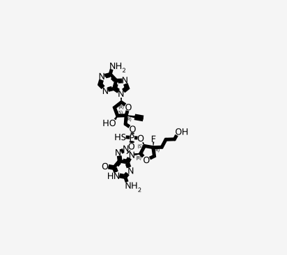 C#C[C@]1(COP(=O)(S)O[C@H]2[C@H](n3nnc4c(=O)[nH]c(N)nc43)OC[C@]2(F)CCCO)O[C@@H](n2cnc3c(N)ncnc32)C[C@@H]1O